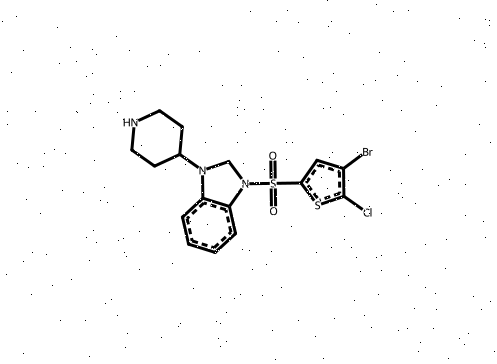 O=S(=O)(c1cc(Br)c(Cl)s1)N1CN(C2CCNCC2)c2ccccc21